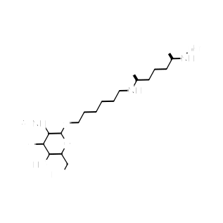 CCCNC(=O)CCCC(=O)NCCCCCCOC1OC(CO)C(O)C(O)C1NC(C)=O